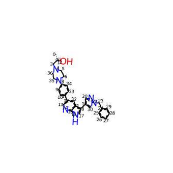 C[C@H](O)CN1CCN(c2ccc(-c3cnc4[nH]cc(-c5cnn(Cc6ccccc6)c5)c4c3)cc2)CC1